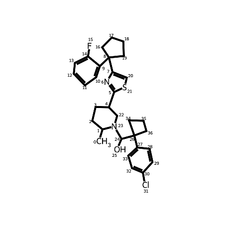 CC1CCC(c2nc(C3(c4ccccc4F)CCCC3)cs2)CN1C(O)C1(c2ccc(Cl)cc2)CCC1